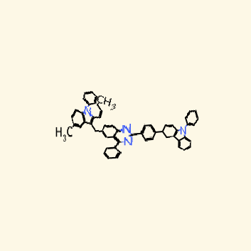 CC/C=C\c1c(Cc2ccc3nc(-c4ccc(C5C=Cc6c(c7ccccc7n6-c6ccccc6)C5)cc4)nc(-c4ccccc4)c3c2)c2cc(C)ccc2n1-c1ccccc1